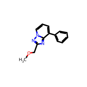 COCc1nc2c(-c3ccccc3)cccn2n1